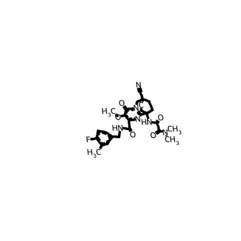 COc1c(C(=O)NCc2ccc(F)c(C)c2)nc2n(c1=O)CC1(C#N)CCC2(NC(=O)C(=O)N(C)C)CC1